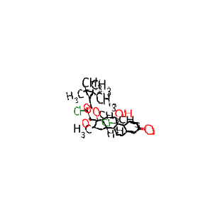 CC1C[C@H]2[C@@H]3CCC4=CC(=O)C=C[C@]4(C)[C@@]3(Cl)C(O)C[C@]2(C)[C@@]1(OC(=O)C1C(C)(C)C1(C)C)C(=O)CCl